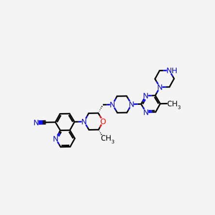 Cc1cnc(N2CCN(C[C@H]3CN(c4ccc(C#N)c5ncccc45)C[C@@H](C)O3)CC2)nc1N1CCNCC1